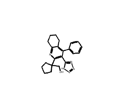 OCC1(c2nc3c(c(-c4ccccc4)c2-c2nnn[nH]2)CCCC3)CCCC1